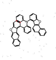 c1ccc(N(c2ccccc2-c2cccc3oc4cc5ccccc5cc4c23)c2cccc3oc4c5ccccc5ccc4c23)cc1